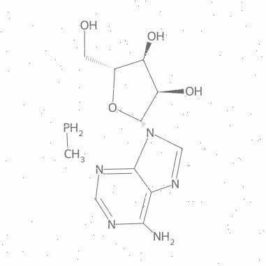 CP.Nc1ncnc2c1ncn2[C@@H]1O[C@H](CO)[C@@H](O)[C@H]1O